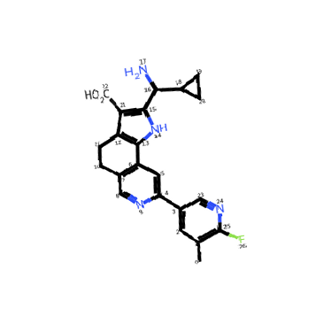 Cc1cc(-c2cc3c(cn2)CCc2c-3[nH]c(C(N)C3CC3)c2C(=O)O)cnc1F